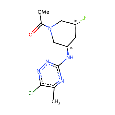 COC(=O)N1C[C@H](F)C[C@@H](Nc2nnc(Cl)c(C)n2)C1